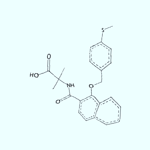 CSc1ccc(COc2c(C(=O)NC(C)(C)C(=O)O)ccc3ccccc23)cc1